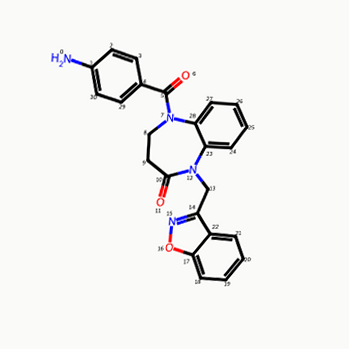 Nc1ccc(C(=O)N2CCC(=O)N(Cc3noc4ccccc34)c3ccccc32)cc1